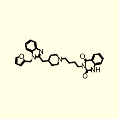 O=c1[nH]c2ccccc2c(=O)n1CCCCN1CCC(Cc2nc3ccccc3n2Cc2ccco2)CC1